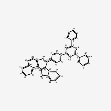 c1ccc(-c2nc(-c3ccccc3)nc(-c3ccc(-c4nc5ccc6ccccc6c5c5oc6ccccc6c45)cc3)n2)cc1